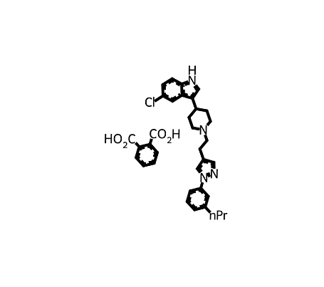 CCCc1cccc(-n2cc(CCN3CCC(c4c[nH]c5ccc(Cl)cc45)CC3)cn2)c1.O=C(O)c1ccccc1C(=O)O